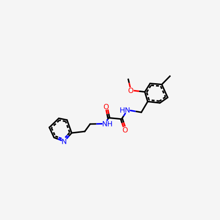 COc1cc(C)ccc1CNC(=O)C(=O)NCCc1ccccn1